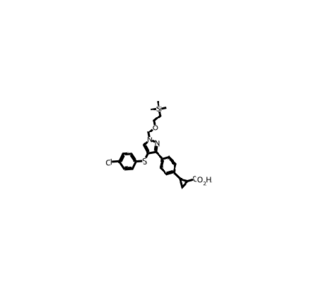 C[Si](C)(C)CCOCn1cc(Sc2ccc(Cl)cc2)c(-c2ccc(C3CC3C(=O)O)cc2)n1